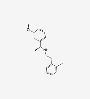 COc1cccc([C@H](C)NCCc2ccccc2C)c1